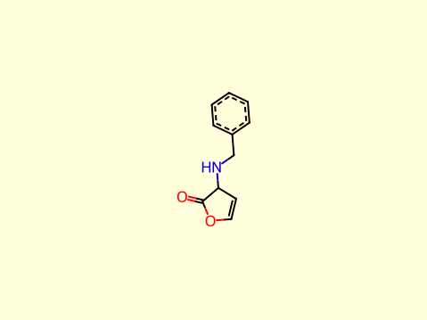 O=C1OC=CC1NCc1ccccc1